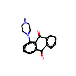 O=C1c2ccccc2C(=O)c2c1cccc2N1CCNCC1